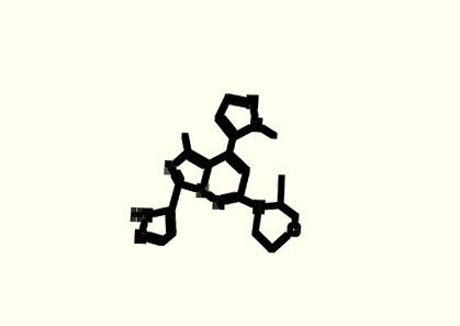 Cc1nc(-c2ccn[nH]2)n2nc(N3CCOCC3C)cc(-c3ccnn3C)c12